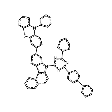 c1ccc(-c2ccc(-c3nc(-c4ccccc4)nc(-n4c5cc(-c6ccc7c(c6)Sc6ccccc6N7c6ccccc6)ccc5c5c6ccccc6ccc54)n3)cc2)cc1